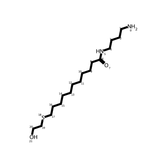 NCCCCNC(=O)CCCCCCCCCCSCCO